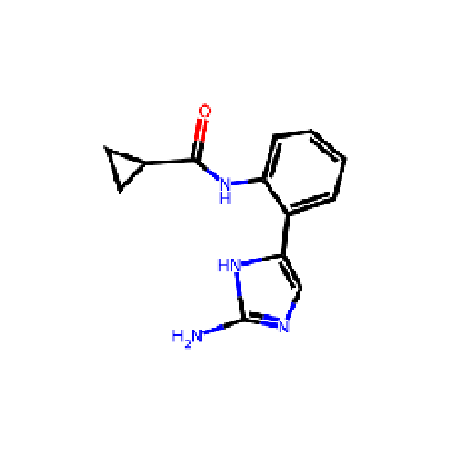 Nc1ncc(-c2ccccc2NC(=O)C2CC2)[nH]1